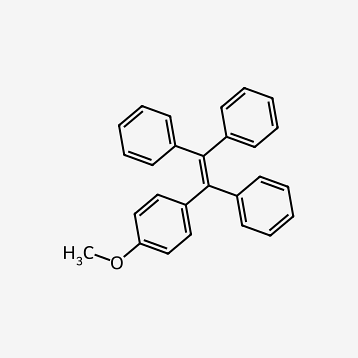 COc1ccc(C(=C(c2ccccc2)c2ccccc2)c2ccccc2)cc1